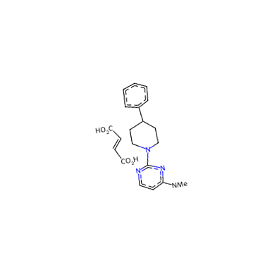 CNc1ccnc(N2CCC(c3ccccc3)CC2)n1.O=C(O)C=CC(=O)O